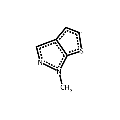 Cn1ncc2c[c]sc21